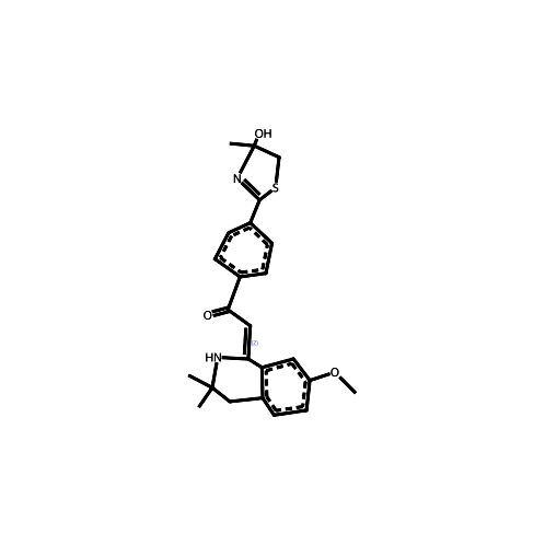 COc1ccc2c(c1)/C(=C/C(=O)c1ccc(C3=NC(C)(O)CS3)cc1)NC(C)(C)C2